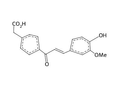 COc1cc(C=CC(=O)c2ccc(CC(=O)O)cc2)ccc1O